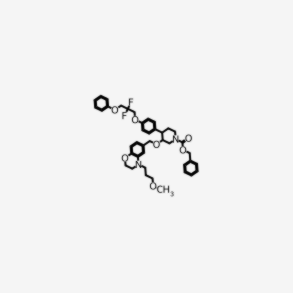 COCCCN1CCOc2ccc(COC3CN(C(=O)OCc4ccccc4)CCC3c3ccc(OCC(F)(F)COc4ccccc4)cc3)cc21